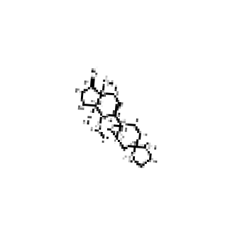 CC12CC=C3C(OC[C@@]45CC6(CC[C@@]34O5)OCCO6)[C@@H]1CCC2=O